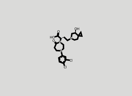 O=C(O)[C@H](CCN1CCC2(CC2)[C@H](O)C1)N1CCN(c2ccc(Cl)c(Cl)c2)CCC1=O